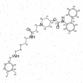 Cc1ccc(CNCCCCCNC(=O)CCN2CCC(OC(=O)Nc3ccccc3-c3ccccc3)CC2)cc1C